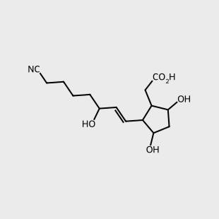 N#CCCCCC(O)C=CC1C(O)CC(O)C1CC(=O)O